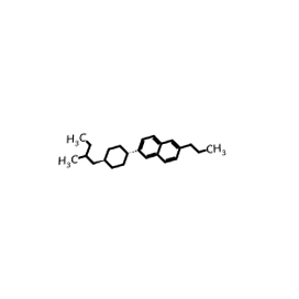 CCCc1ccc2cc([C@H]3CC[C@H](CC(C)CC)CC3)ccc2c1